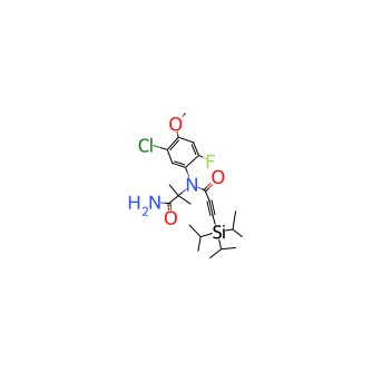 COc1cc(F)c(N(C(=O)C#C[Si](C(C)C)(C(C)C)C(C)C)C(C)(C)C(N)=O)cc1Cl